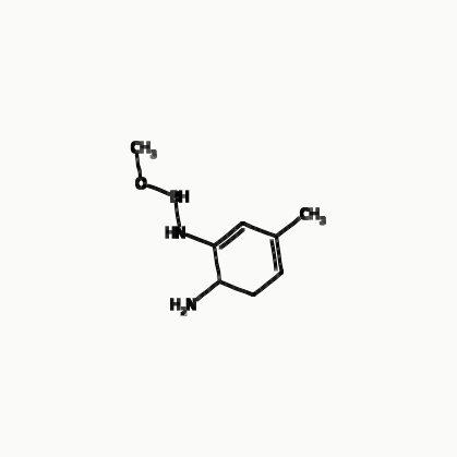 COBNC1=CC(C)=CCC1N